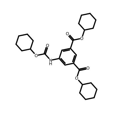 O=C(Nc1cc(C(=O)OC2CCCCC2)cc(C(=O)OC2CCCCC2)c1)OC1CCCCC1